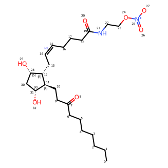 CCCCCCCC(=O)CC[C@@H]1[C@@H](C/C=C\CCCC(=O)NCCO[N+](=O)[O-])[C@@H](O)C[C@H]1O